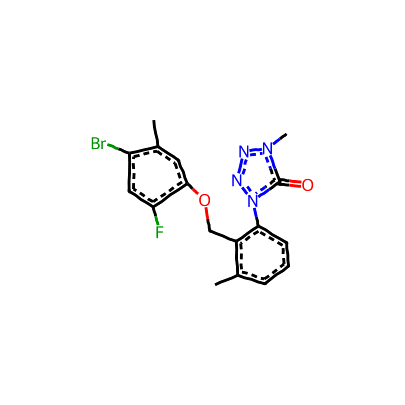 Cc1cc(OCc2c(C)cccc2-n2nnn(C)c2=O)c(F)cc1Br